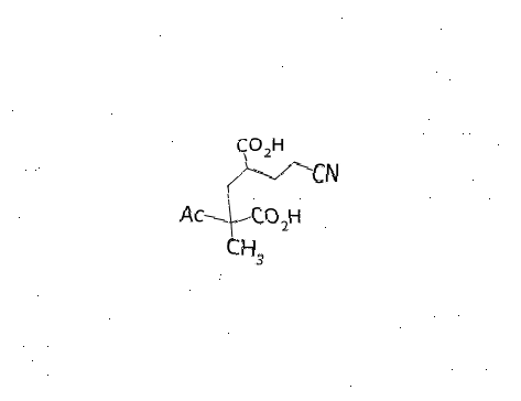 CC(=O)C(C)(CC(CCC#N)C(=O)O)C(=O)O